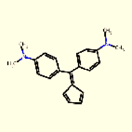 CN(C)c1ccc(C(=C2C=CC=C2)c2ccc(N(C)C)cc2)cc1